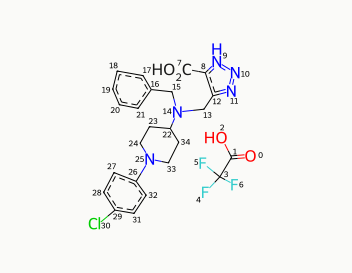 O=C(O)C(F)(F)F.O=C(O)c1[nH]nnc1CN(Cc1ccccc1)C1CCN(c2ccc(Cl)cc2)CC1